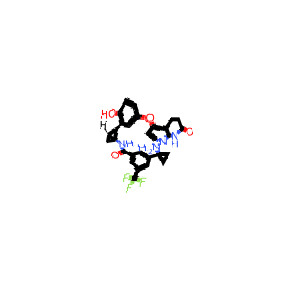 NC1(c2cc(C(=O)N[C@@]34C[C@H]3[C@H]4c3cc(Oc4ccnc5c4CCC(=O)N5)ccc3O)cc(C(F)(F)F)c2)CC1